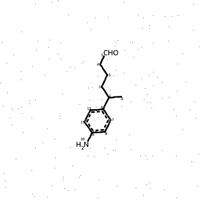 CC(CCCC=O)c1ccc(N)cc1